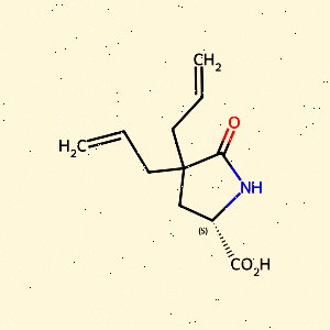 C=CCC1(CC=C)C[C@@H](C(=O)O)NC1=O